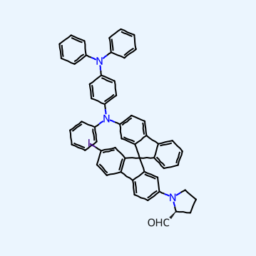 O=C[C@@H]1CCCN1c1ccc2c(c1)C1(c3ccccc3-c3ccc(N(c4ccccc4)c4ccc(N(c5ccccc5)c5ccccc5)cc4)cc31)c1cc(I)ccc1-2